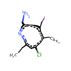 Cc1nc(N)c(I)c(C)c1Cl